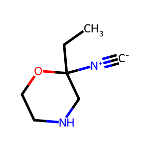 [C-]#[N+]C1(CC)CNCCO1